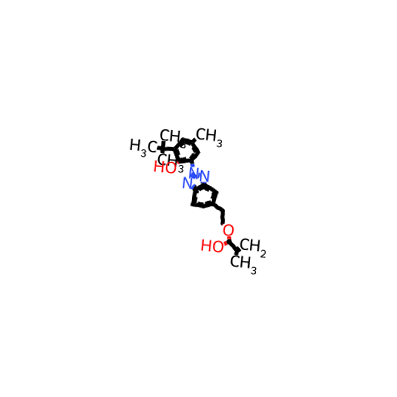 C=C(C)C(O)OCCc1ccc2nn(-c3cc(C)cc(C(C)(C)C)c3O)nc2c1